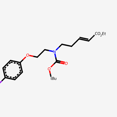 CCOC(=O)C=CCCN(CCOc1ccc(I)cc1)C(=O)OC(C)(C)C